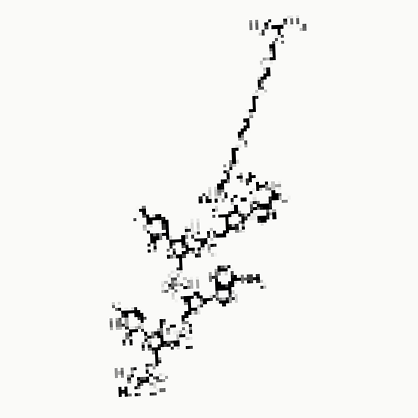 CC(C)OCCOCCOCCOCCOCCOCCO[PH](=O)OC1C(COP(=O)(O)OC2C(COP(=O)(O)OC3CC(n4cnc5c(N)ncnc54)OC3COP(=O)(O)OC3C(COP(=O)(O)C(C)C)OC(n4ccc(=O)[nH]c4=O)C3F)OC(n3ccc(N)nc3=O)C2F)OC(n2cnc3c(=O)[nH]c(N)nc32)C1C